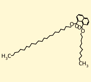 CCCCCCCCCCCCCCCCCCCCCCOC(=O)c1cccc2cccc(C(=O)OCCCCCCCCCC)c12